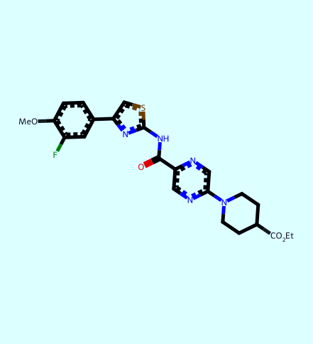 CCOC(=O)C1CCN(c2cnc(C(=O)Nc3nc(-c4ccc(OC)c(F)c4)cs3)cn2)CC1